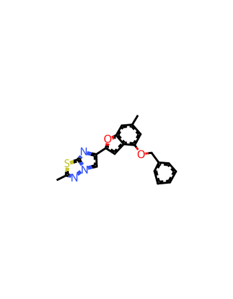 Cc1cc(OCc2ccccc2)c2cc(-c3cn4nc(C)sc4n3)oc2c1